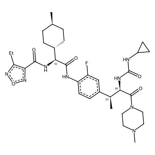 CCc1nonc1C(=O)N[C@H](C(=O)Nc1ccc([C@H](C)[C@@H](NC(=O)NC2CC2)C(=O)N2CCN(C)CC2)cc1F)[C@H]1CC[C@H](C)CC1